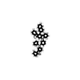 c1ccc(N(c2cccc(-n3c4ccccc4c4c(-c5ccc6ccccc6c5)c5c(cc43)oc3ccccc35)c2)c2ccc3sc4ccccc4c3c2)cc1